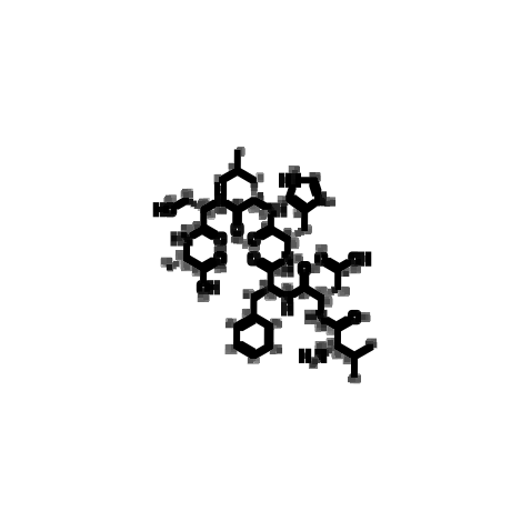 CC(C)C[C@H](NC(=O)[C@H](Cc1c[nH]cn1)NC(=O)[C@H](Cc1ccccc1)NC(=O)[C@H](CC(=O)O)NC(=O)[C@@H](N)C(C)C)C(=O)N[C@@H](CO)C(=O)N[C@@H](C)C(=O)O